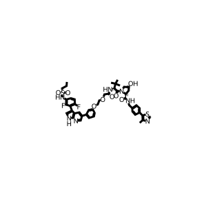 CCCS(=O)(=O)Nc1ccc(F)c(-c2c[nH]c3ncc(-c4cccc(OCCOCC(=O)N[C@H](C(=O)N5C[C@H](O)C[C@H]5C(=O)NCc5ccc(-c6scnc6C)cc5)C(C)(C)C)c4)cc23)c1F